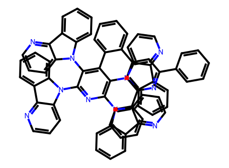 c1ccc(-c2cc(-c3ccccc3-c3c(-n4c5ccccc5c5ncccc54)c(-n4c5ccccc5c5ncccc54)nc(-n4c5ccccc5c5ncccc54)c3-n3c4ccccc4c4ncccc43)cc(-c3ccccc3)n2)cc1